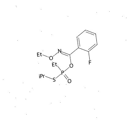 CCON=C(OP(=O)(CC)SC(C)C)c1ccccc1F